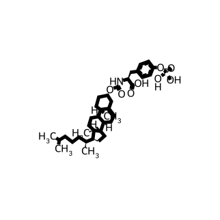 CC(C)CCC[C@@H](C)[C@H]1CC[C@H]2[C@@H]3CC=C4C[C@@H](OC(=O)N[C@@H](Cc5ccc(OP(=O)(O)O)cc5)C(=O)O)CCC4(C)[C@H]3CC[C@]12C